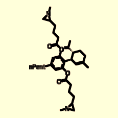 C=C(C)[C@@H]1CCC(C)=C[C@H]1c1c(OC(=O)CCCC2CN2C)cc(CCCCC)cc1OC(=O)CCCC1CN1C